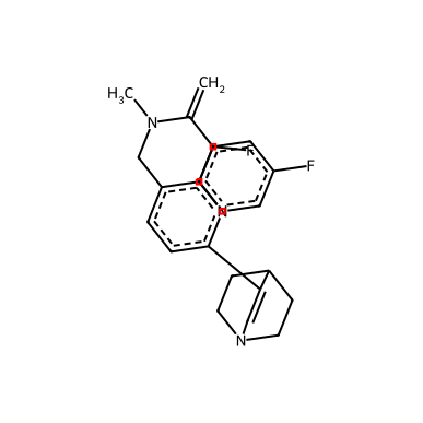 C=C(c1cncc(F)c1)N(C)Cc1ccc(C2=CN3CCC2CC3)nc1CF